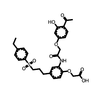 CCc1ccc(S(=O)(=O)CCCc2ccc(OCC(=O)O)c(NC(=O)COc3ccc(C(C)=O)c(O)c3)c2)cc1